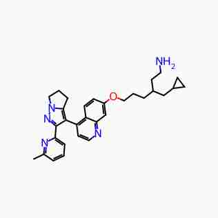 Cc1cccc(-c2nn3c(c2-c2ccnc4cc(OCCCC(CCN)CC5CC5)ccc24)CCC3)n1